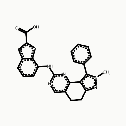 Cn1nc2c(c1-c1ccccc1)-c1nc(Nc3cccc4cc(C(=O)O)sc34)ncc1CC2